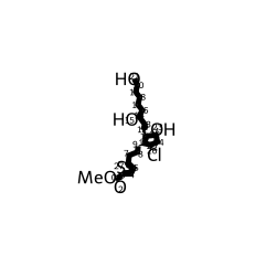 COC(=O)c1ccc(CCC[C@@H]2[C@@H](C=C[C@@H](O)CCCCCO)[C@H](O)C[C@H]2Cl)s1